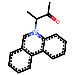 CC(=O)C(C)[n+]1cc2ccccc2c2ccccc21